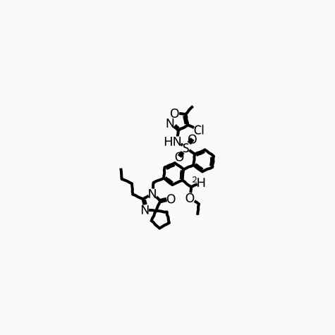 [2H]C(OCC)c1cc(CN2C(=O)C3(CCCC3)N=C2CCCC)ccc1-c1ccccc1S(=O)(=O)Nc1noc(C)c1Cl